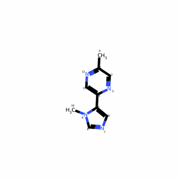 Cc1cnc(-c2cncn2C)cn1